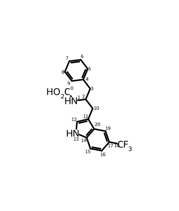 O=C(O)NC(Cc1ccccc1)Cc1c[nH]c2ccc(C(F)(F)F)cc12